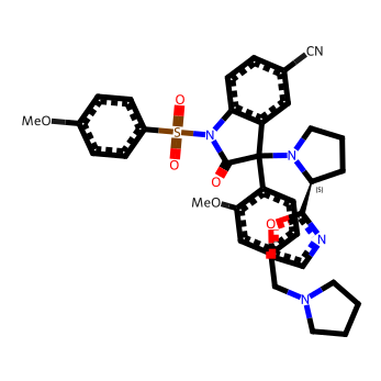 COc1ccc(S(=O)(=O)N2C(=O)C(c3ccc(CN4CCCC4)cc3OC)(N3CCC[C@H]3c3ncco3)c3cc(C#N)ccc32)cc1